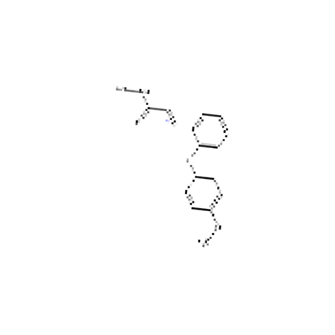 COc1ccc(Oc2ccccc2/C=C/C(=O)NO)cc1